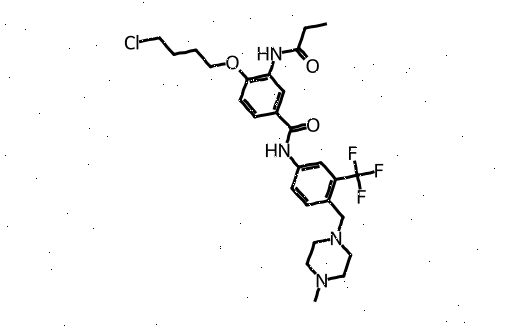 CCC(=O)Nc1cc(C(=O)Nc2ccc(CN3CCN(C)CC3)c(C(F)(F)F)c2)ccc1OCCCCCl